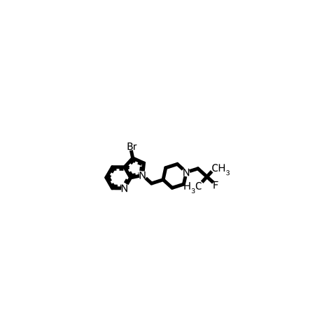 CC(C)(F)CN1CCC(Cn2cc(Br)c3cccnc32)CC1